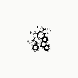 CC(C)N1C[C@H](C)[C@@H](CN(C)CC2CCOCC2)Oc2c(NC(=O)c3ccncc3)cccc2C1=O